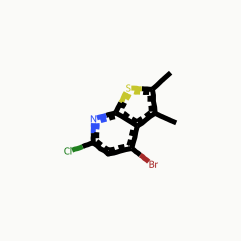 Cc1sc2nc(Cl)cc(Br)c2c1C